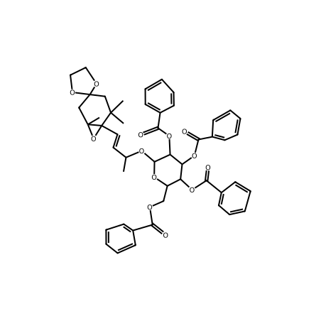 CC(C=CC12OC1(C)CC1(CC2(C)C)OCCO1)OC1OC(COC(=O)c2ccccc2)C(OC(=O)c2ccccc2)C(OC(=O)c2ccccc2)C1OC(=O)c1ccccc1